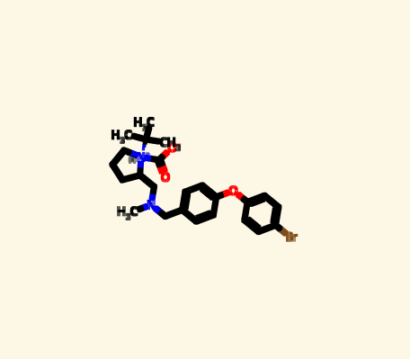 CN(Cc1ccc(Oc2ccc(Br)cc2)cc1)CC1CCC[N@+]1(C(=O)[O-])C(C)(C)C